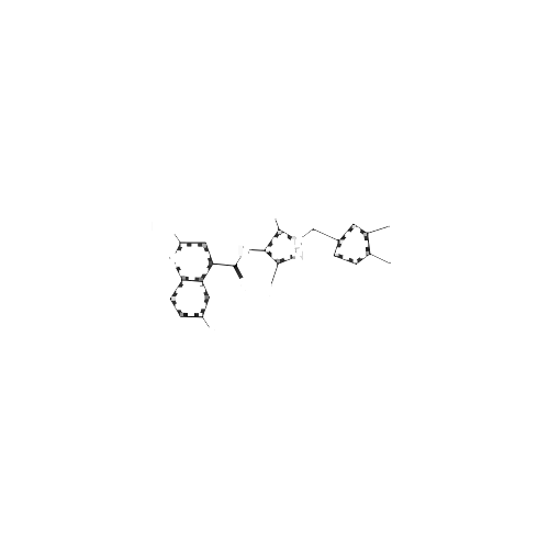 Cc1nn(Cc2ccc(F)c(F)c2)c(C)c1NC(=O)c1cc(C(F)(F)F)nc2ccc(Cl)cc12